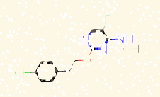 CNc1nc(OCCc2ccc(Cl)cc2)ncc1F